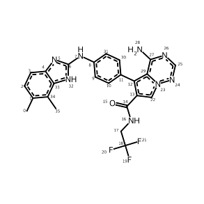 Cc1ccc2nc(Nc3ccc(-c4c(C(=O)NCC(F)(F)F)cn5ncnc(N)c45)cc3)[nH]c2c1C